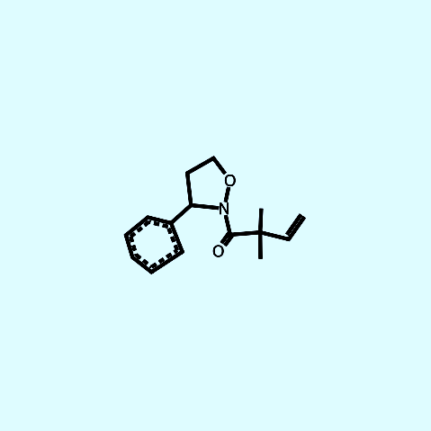 C=CC(C)(C)C(=O)N1OCCC1c1ccccc1